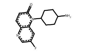 NC1CCC(n2c(=O)ccc3ncc(F)cc32)CC1